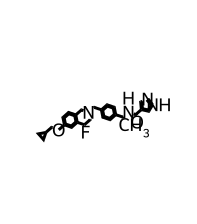 C[C@H](NC(=O)c1cn[nH]c1)c1ccc(CN2Cc3ccc(OCC4CC4)cc3C(F)C2)cc1